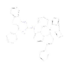 c1ccc(-c2ccc3c4c2ccc2c4c4c(cccc4n2-c2nc(-c4ccccc4)c4sc5ccccc5c4n2)C32c3ccccc3-c3ccccc32)cc1